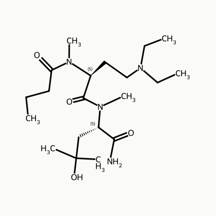 CCCC(=O)N(C)[C@@H](CCN(CC)CC)C(=O)N(C)[C@@H](CC(C)(C)O)C(N)=O